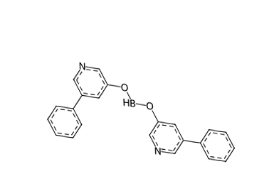 B(Oc1cncc(-c2ccccc2)c1)Oc1cncc(-c2ccccc2)c1